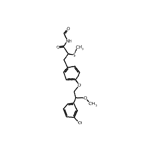 COC(COc1ccc(CC(SC)C(=O)NC=O)cc1)c1cccc(Cl)c1